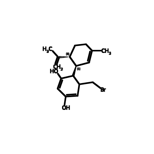 C=C(C)[C@@H]1CCC(C)=C[C@H]1C1C(O)=CC(O)=CC1CBr